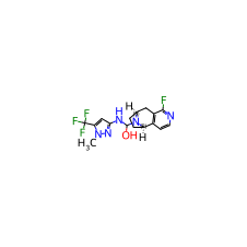 Cn1nc(NC(O)N2[C@H]3CC[C@@H]2c2ccnc(F)c2C3)cc1C(F)(F)F